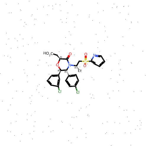 CC[C@@H](CS(=O)(=O)c1ccccn1)N1C(=O)[C@H](CC(=O)O)O[C@H](c2cccc(Cl)c2)[C@H]1c1ccc(Cl)cc1